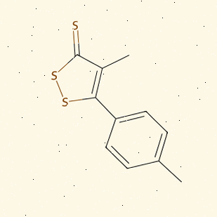 Cc1ccc(-c2ssc(=S)c2C)cc1